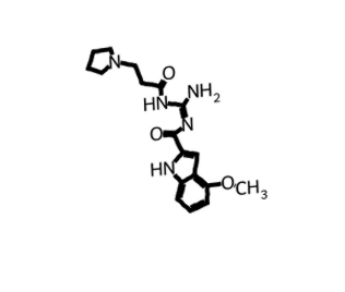 COc1cccc2[nH]c(C(=O)N=C(N)NC(=O)CCN3CCCC3)cc12